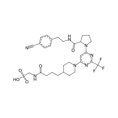 N#Cc1ccc(CCNC(=O)C2CCCN2c2cc(N3CCC(CCCC(=O)NCS(=O)(=O)O)CC3)nc(C(F)(F)F)n2)cc1